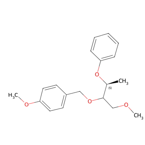 COCC(OCc1ccc(OC)cc1)[C@H](C)Oc1ccccc1